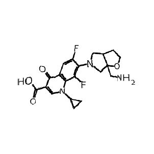 NCC12CN(c3c(F)cc4c(=O)c(C(=O)O)cn(C5CC5)c4c3F)CC1CCO2